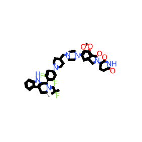 C[C@@H]1Cc2c([nH]c3ccccc23)[C@@H](c2c(F)cc(N3CCC(CN4CCN(c5cc6c(c7c5OCO7)C(=O)N(C5CCC(=O)NC5=O)C6)CC4)CC3)cc2F)N1CC(C)(C)F